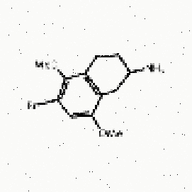 COc1cc(Br)c(OC)c2c1CC(N)CC2